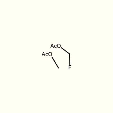 CC(=O)OCF.COC(C)=O